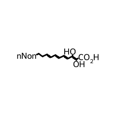 CCCCCCCCCCC/C=C/C=C/C=C/C(O)=C(\O)C(=O)O